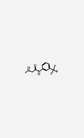 CNCC(=O)Nc1cccc(C(F)(F)F)c1